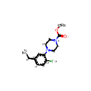 CC(C)(C)OC(=O)N1CCN(c2cc(CC#N)ccc2F)CC1